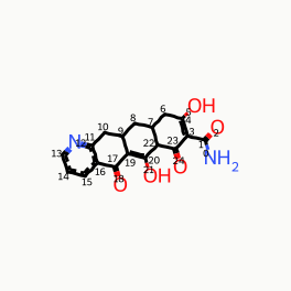 NC(=O)C1=C(O)CC2CC3Cc4ncccc4C(=O)C3=C(O)C2C1=O